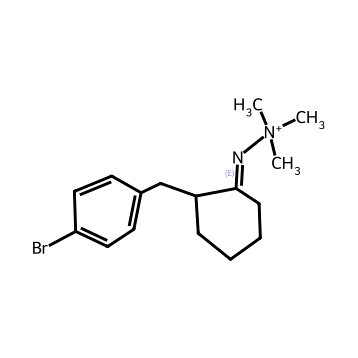 C[N+](C)(C)/N=C1\CCCCC1Cc1ccc(Br)cc1